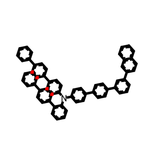 c1ccc(-c2ccc(-c3ccc(N(c4ccc(-c5ccc(-c6cccc(-c7ccc8ccccc8c7)c6)cc5)cc4)c4ccccc4-c4ccc(-c5ccccc5)cc4)cc3)cc2)cc1